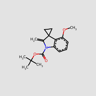 C=C1N(C(=O)OC(C)(C)C)c2cccc(OC)c2C12CC2